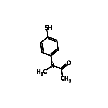 CC(=O)N(C)c1ccc(S)cc1